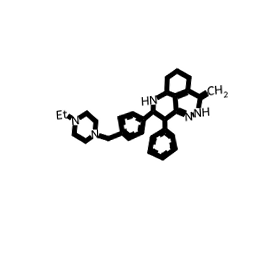 C=C1NN=C2C3=C1CCCC3NC(c1ccc(CN3CCN(CC)CC3)cc1)C2c1ccccc1